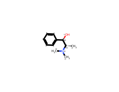 C[C@@H]([C@H](O)c1ccccc1)N(C)C